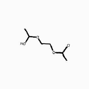 CC(O)OCCOC(C)Cl